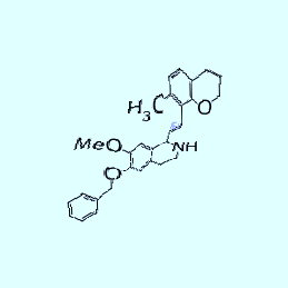 COc1cc2c(cc1OCc1ccccc1)CCNC2/C=C/c1c(C)ccc2c1OCCC2